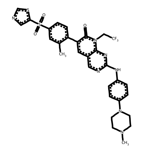 Cc1cc(S(=O)(=O)c2cncs2)ccc1-c1cc2cnc(Nc3ccc(N4CCN(C)CC4)cc3)nc2n(CC(F)(F)F)c1=O